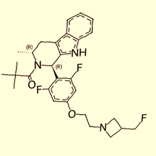 C[C@@H]1Cc2c([nH]c3ccccc23)[C@@H](c2c(F)cc(OCCN3CC(CF)C3)cc2F)N1C(=O)C(C)(C)C